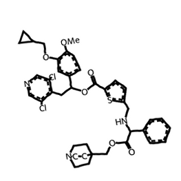 COc1ccc(C(Cc2c(Cl)cncc2Cl)OC(=O)c2ccc(CNC(C(=O)OCC34CCN(CC3)CC4)c3ccccc3)s2)cc1OCC1CC1